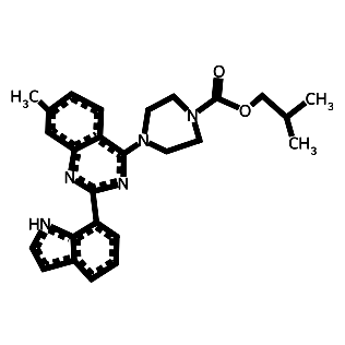 Cc1ccc2c(N3CCN(C(=O)OCC(C)C)CC3)nc(-c3cccc4cc[nH]c34)nc2c1